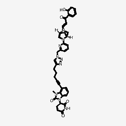 Cn1c(=O)n(C2CCC(=O)NC2=O)c2cccc(C#CCCCc3cn(Cc4cccc(N5C[C@H]6C[C@@H]5CN6/C=C/C(=O)c5ccccc5O)n4)nn3)c21